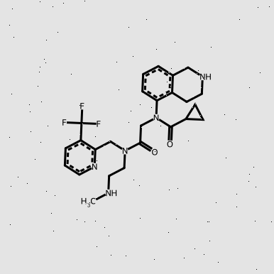 CNCCN(Cc1ncccc1C(F)(F)F)C(=O)CN(C(=O)C1CC1)c1cccc2c1CCNC2